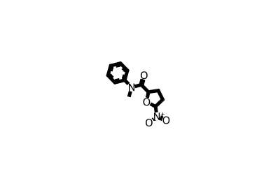 CN(C(=O)C1CCC([N+](=O)[O-])O1)c1ccccc1